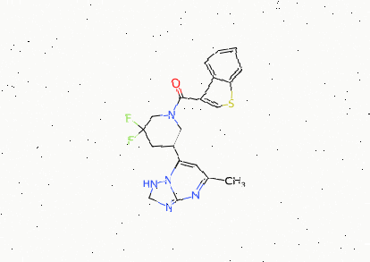 CC1=NC2=NCNN2C(C2CN(C(=O)c3csc4ccccc34)CC(F)(F)C2)=C1